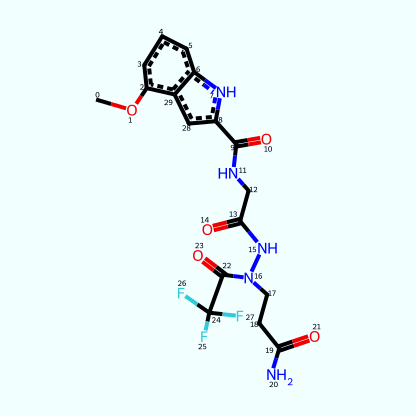 COc1cccc2[nH]c(C(=O)NCC(=O)NN(CCC(N)=O)C(=O)C(F)(F)F)cc12